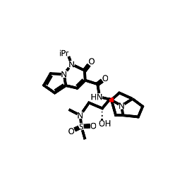 CC(C)n1c(=O)c(C(=O)NC2CC3CCC(C2)N3C[C@H](O)CN(C)S(C)(=O)=O)cc2cccn21